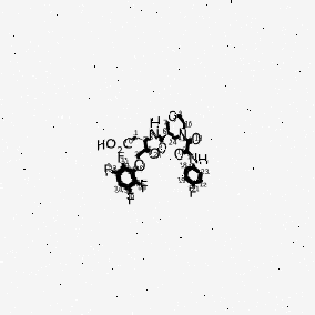 O=C(O)C[C@H](NC(=O)[C@H]1COCCN(C(=O)C(=O)Nc2ccc(F)cc2)C1)C(=O)COc1c(F)c(F)cc(F)c1F